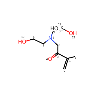 C=C(C)C(=O)CN(C)CCO.O=S(=O)(O)O